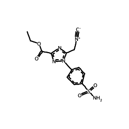 [C-]#[N+]Cc1nc(C(=O)OCC)nn1-c1ccc(S(N)(=O)=O)cc1